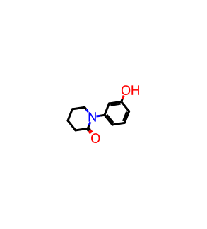 O=C1CCCCN1c1cccc(O)c1